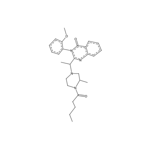 CCCCC(=O)N1CCN(C(C)c2nc3ccccc3c(=O)n2-c2ccccc2OC)CC1C